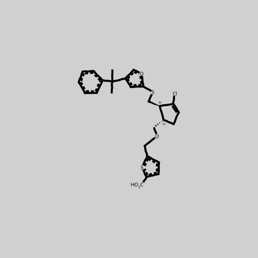 CC(C)(c1ccccc1)c1coc(SC[C@H]2C(Cl)=CC[C@@H]2COCc2ccc(C(=O)O)s2)c1